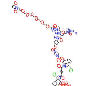 CC(C)[C@H](NC(=O)CCOCCOCCOCCOCCOCCOCCN1C(=O)C=CC1=O)C(=O)N[C@@H](CCCNC(N)=O)C(=O)Nc1ccc(COC(=O)N2CCN(C(=O)Oc3cc4c(c5ccccc35)[C@H](CCl)CN4C(=O)C34CC(C(=O)N5C[C@@H](CCl)c6c5cc(OP(=O)(O)O)c5ccccc65)(C3)C4)CC2)cc1